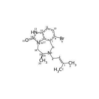 CC(C)=CCN1Cc2c(Br)ccc3[nH]c(=O)n(c23)C[C@@H]1C